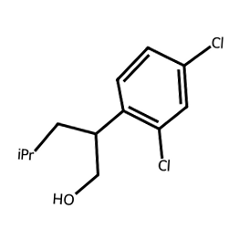 CC(C)CC(CO)c1ccc(Cl)cc1Cl